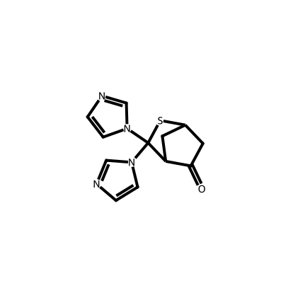 O=C1CC2CC1C(n1ccnc1)(n1ccnc1)S2